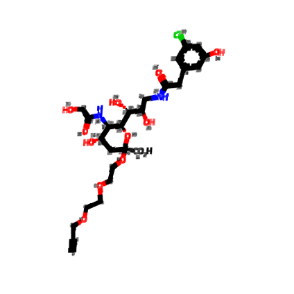 C#CCOCCOCCO[C@]1(C(=O)O)C[C@H](O)[C@@H](NC(=O)CO)[C@H]([C@H](O)[C@H](O)CNC(=O)Cc2cc(O)cc(Cl)c2)O1